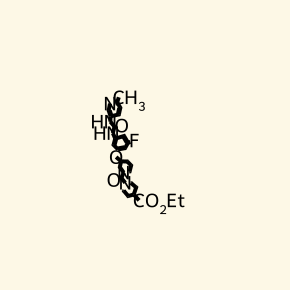 CCOC(=O)C1CCN(C(=O)N2CCCC(Oc3cc(F)cc(NC(=O)Nc4ccc(C)nc4)c3)C2)CC1